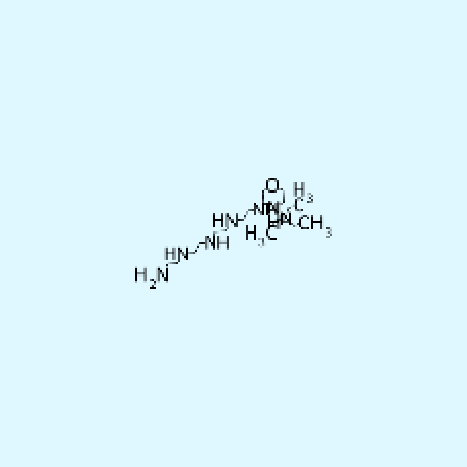 C1COCCN1.CCN(CC)CC.NCCNCCNCCNCCN